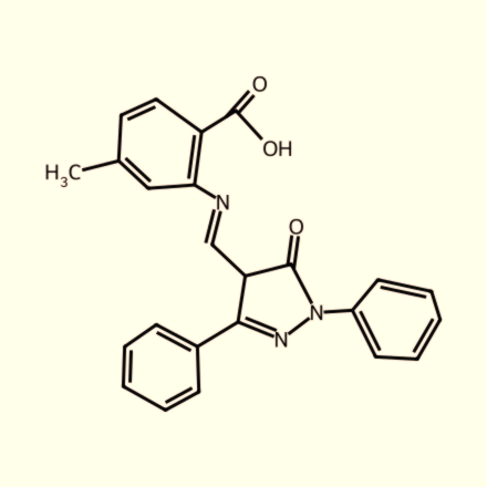 Cc1ccc(C(=O)O)c(/N=C/C2C(=O)N(c3ccccc3)N=C2c2ccccc2)c1